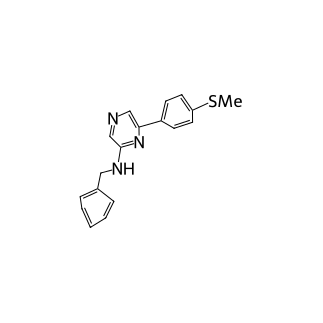 CSc1ccc(-c2cncc(NCc3ccccc3)n2)cc1